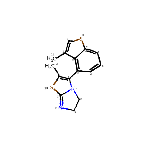 CC1=C(c2cccc3scc(C)c23)N2CCN=C2S1